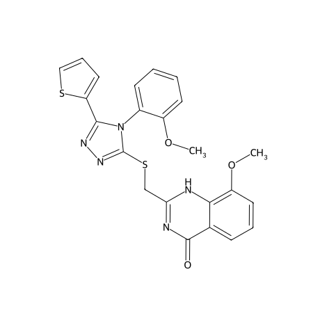 COc1ccccc1-n1c(SCc2nc(=O)c3cccc(OC)c3[nH]2)nnc1-c1cccs1